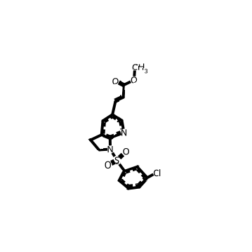 COC(=O)/C=C/c1cnc2c(c1)CCN2S(=O)(=O)c1cccc(Cl)c1